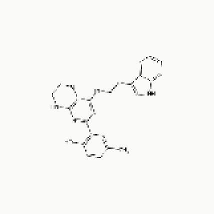 Cc1cnc(O)c(-c2nc3c(c(NCCc4c[nH]c5ccccc45)n2)OCCN3)c1